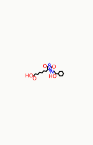 CN1C(=O)C(CCCCCCC(=O)O)N(/N=C/C(O)C2CCCCC2)C1=O